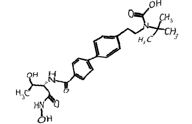 C[C@@H](O)[C@H](NC(=O)c1ccc(-c2ccc(CCN(C(=O)O)C(C)(C)C)cc2)cc1)C(=O)NO